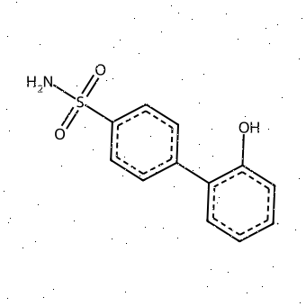 NS(=O)(=O)c1ccc(-c2cc[c]cc2O)cc1